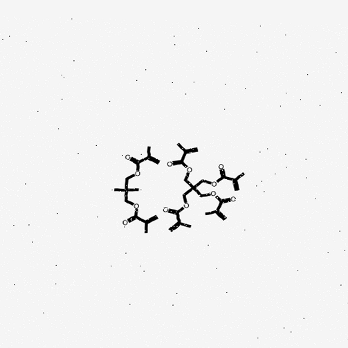 C=C(C)C(=O)OCC(COC(=O)C(=C)C)(COC(=O)C(=C)C)COC(=O)C(=C)C.[CH2]C([CH2])(COC(=O)C(=C)C)COC(=O)C(=C)C